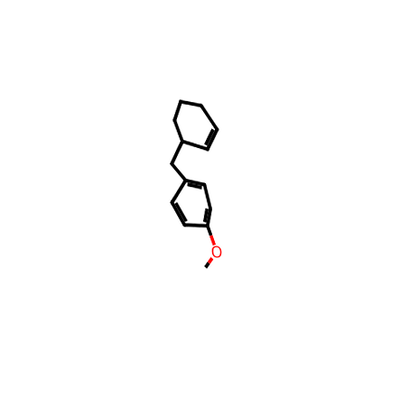 COc1ccc(CC2C=CCCC2)cc1